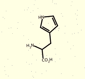 NC(Cc1cc[nH]c1)C(=O)O